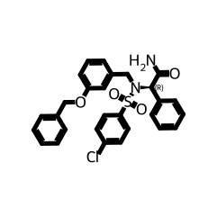 NC(=O)[C@@H](c1ccccc1)N(Cc1cccc(OCc2ccccc2)c1)S(=O)(=O)c1ccc(Cl)cc1